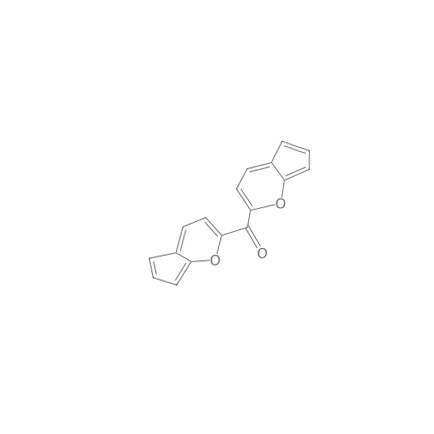 O=C(c1ccc2cccc-2o1)c1ccc2cccc-2o1